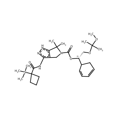 COC(C)(C)OC[C@@H](OC(=O)N1Cc2c(NC(=O)C3([Si](C)(C)C)CCC3)n[nH]c2C1(C)C)C1C=CC=CC1